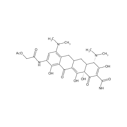 CC(=O)OCC(=O)Nc1cc(N(C)C)c2c(c1O)C(=O)C1=C(O)[C@]3(O)C(=O)C(C([NH])=O)=C(O)[C@@H](N(C)C)C3CC1C2